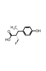 C[C@H](c1ccc(O)cc1)[C@H](CF)C(=O)O